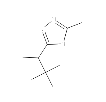 Cc1nnc(C(C)C(C)(C)C)[nH]1